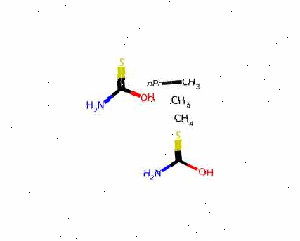 C.C.CCCC.NC(O)=S.NC(O)=S